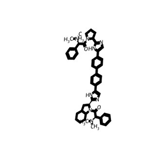 CN(C)[C@@H](C(=O)N1CCCC1c1ncc(-c2ccc(-c3ccc(-c4cnc([C@@H]5CC6CCCCC6N5C(=O)[C@@H](c5ccccc5)N(C)C)[nH]4)cc3)cc2)[nH]1)c1ccccc1